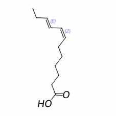 CC/C=C/C=C\CCCCCC(=O)O